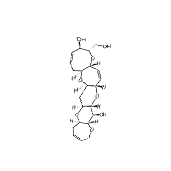 OC[C@@H]1O[C@@H]2C=C[C@@H]3O[C@@H]4[C@@H](O)[C@@H]5OCC=CC[C@H]5O[C@H]4C[C@H]3O[C@H]2C/C=C\[C@H]1O